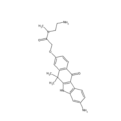 CN(CCN)C(=O)COc1ccc2c(c1)C(C)(C)c1[nH]c3cc(N)ccc3c1C2=O